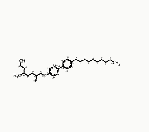 CCCCCCCCCCc1ccc(-c2ncc(OCC(F)CCC(C)CCC)cn2)cc1